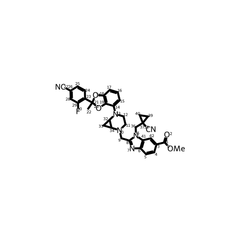 COC(=O)c1ccc2nc(CN3CCN(c4cccc5c4OC(C)(c4ccc(C#N)cc4F)O5)C4CC43)n(CC3(C#N)CC3)c2c1